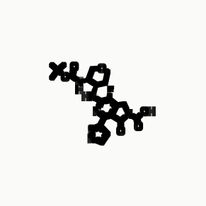 CC(C)(C)OC(=O)N[C@H]1COCC[C@H]1Nc1nc(-c2ccns2)c2c(c1F)CN(C(=O)O)C2=O